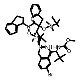 COC(=O)N[C@H](C(=O)NN(CCCC(Cc1ccccc1)(O[Si](C)(C)C(C)(C)C)C(=O)N(O[Si](C)(C)C(C)(C)C)C1CCc2ccccc21)Cc1ccc(Br)cc1)C(C)(C)C